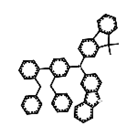 CC1(C)c2ccccc2-c2ccc(N(c3ccc(-c4ccccc4Cc4ccccc4)c(Cc4ccccc4)c3)c3ccc4oc5ccccc5c4c3)cc21